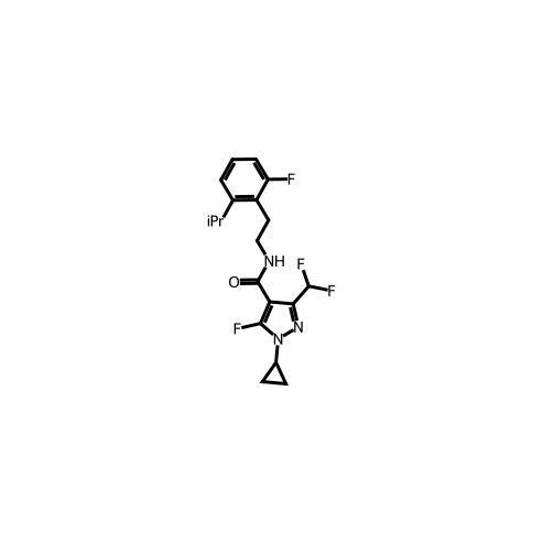 CC(C)c1cccc(F)c1CCNC(=O)c1c(C(F)F)nn(C2CC2)c1F